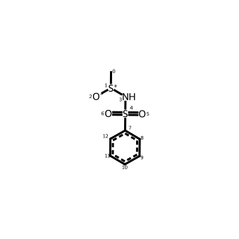 C[S+]([O-])NS(=O)(=O)c1ccccc1